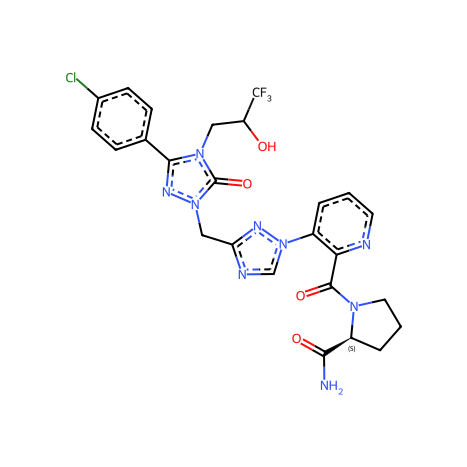 NC(=O)[C@@H]1CCCN1C(=O)c1ncccc1-n1cnc(Cn2nc(-c3ccc(Cl)cc3)n(CC(O)C(F)(F)F)c2=O)n1